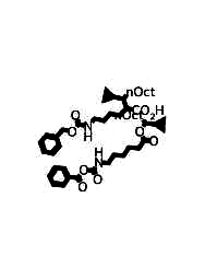 CCCCCCCCC(C1CC1)C(CCCCNC(=O)OCc1ccccc1)C(=O)O.CCCCCCCCC(OC(=O)CCCCCNC(=O)OC(=O)c1ccccc1)C1CC1